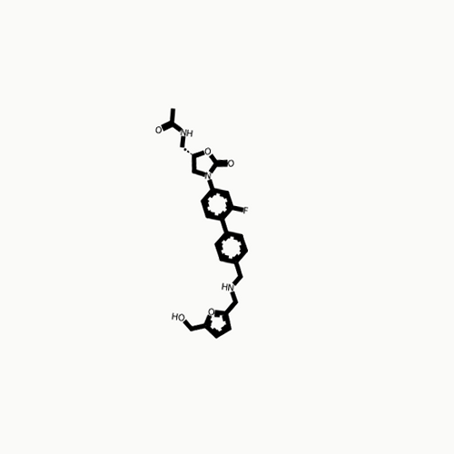 CC(=O)NC[C@H]1CN(c2ccc(-c3ccc(CNCc4ccc(CO)o4)cc3)c(F)c2)C(=O)O1